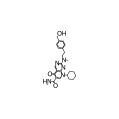 CNC(=O)c1cn(C2CCCCC2)c2nc(N(C)CCc3ccc(CO)cc3)ncc2c1=O